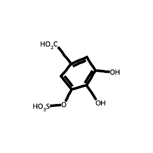 O=C(O)c1cc(O)c(O)c(OS(=O)(=O)O)c1